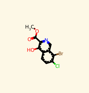 COC(=O)c1ncc2c(Br)c(Cl)ccc2c1O